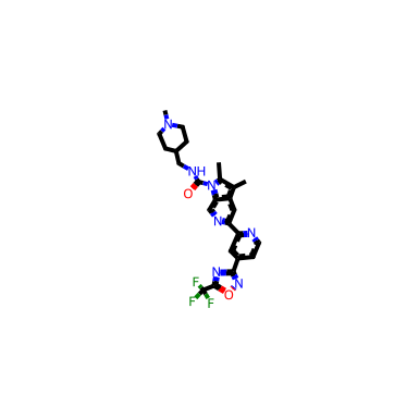 Cc1c(C)n(C(=O)NCC2CCN(C)CC2)c2cnc(-c3cc(-c4noc(C(F)(F)F)n4)ccn3)cc12